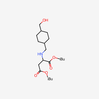 CCC(C)OC(=O)CC(NCC1CCC(CO)CC1)C(=O)OC(C)CC